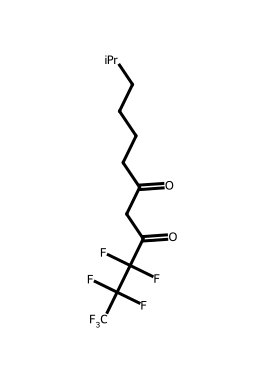 CC(C)CCCCC(=O)CC(=O)C(F)(F)C(F)(F)C(F)(F)F